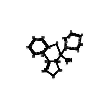 OC1(c2ccccn2)Cc2ccccc2C2=NCCN21